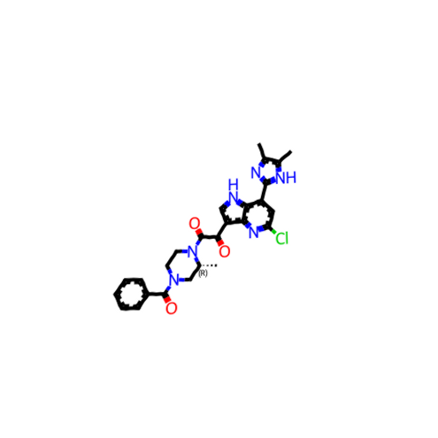 Cc1nc(-c2cc(Cl)nc3c(C(=O)C(=O)N4CCN(C(=O)c5ccccc5)C[C@H]4C)c[nH]c23)[nH]c1C